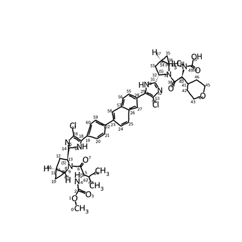 COC(=O)N[C@H](C(=O)N1[C@@H]2C[C@H]2C[C@H]1c1nc(Cl)c(-c2ccc(-c3ccc4cc(-c5[nH]c([C@@H]6C[C@H]7C[C@H]7N6C(=O)[C@H](C6CCOCC6)N(C)C(=O)O)nc5Cl)ccc4c3)cc2)[nH]1)C(C)C